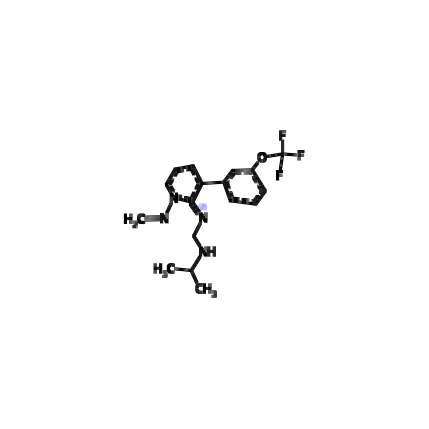 C=Nn1cccc(-c2cccc(OC(F)(F)F)c2)/c1=N/CNC(C)C